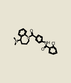 CN(C)C1CCCN(C(=O)c2ccc(NC(=O)c3ccccc3Cl)cc2)c2ccccc21